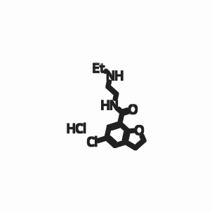 CCNCCNC(=O)c1cc(Cl)cc2c1OCC2.Cl